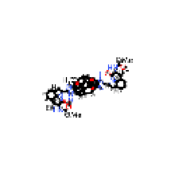 CC[C@@H]1C2CCC[C@H]3C[C@@H](c4nc5cc(-c6cc7ccc6CCc6ccc(c(-c8ccc9[nH]c([C@@H]%10C[C@@H]%11CCCC%12[C@@H](CC)[C@H](NC(=O)OC)C(=O)N%10[C@@H]%12%11)nc9c8)c6)C[C@H]7C)ccc5[nH]4)N(C(=O)[C@H]1NC(=O)OC)[C@@H]23